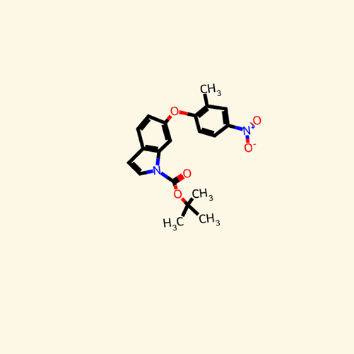 Cc1cc([N+](=O)[O-])ccc1Oc1ccc2ccn(C(=O)OC(C)(C)C)c2c1